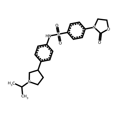 CC(C)N1CCC(c2ccc(NS(=O)(=O)c3ccc(N4CCOC4=O)cc3)cc2)C1